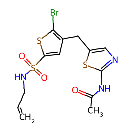 C=CCNS(=O)(=O)c1cc(Cc2cnc(NC(C)=O)s2)c(Br)s1